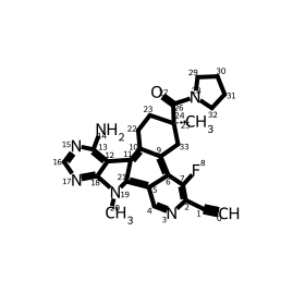 C#Cc1ncc2c(c1F)c1c(c3c4c(N)ncnc4n(C)c23)CC[C@@](C)(C(=O)N2CCCC2)C1